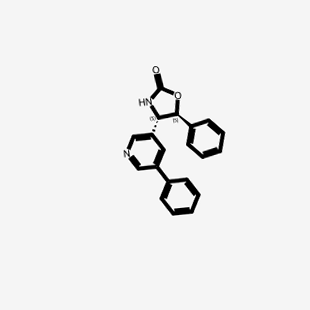 O=C1N[C@@H](c2cncc(-c3ccccc3)c2)[C@H](c2ccccc2)O1